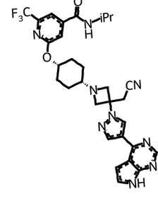 CC(C)NC(=O)c1cc(O[C@H]2CC[C@@H](N3CC(CC#N)(n4cc(-c5ncnc6[nH]ccc56)cn4)C3)CC2)nc(C(F)(F)F)c1